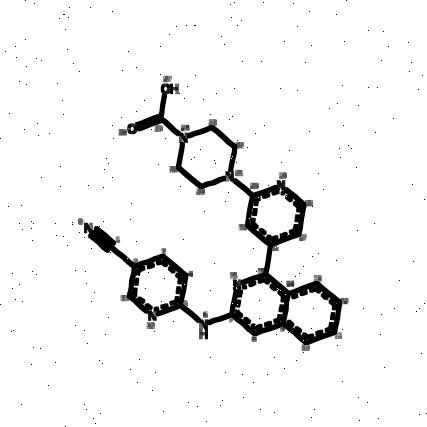 N#Cc1ccc(Nc2cc3ccccc3c(-c3ccnc(N4CCN(C(=O)O)CC4)c3)n2)nc1